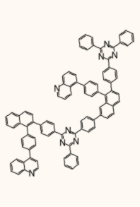 c1ccc(-c2nc(-c3ccc(-c4ccc5ccc(-c6ccc(-c7nc(-c8ccccc8)nc(-c8ccccc8)n7)cc6)c(-c6ccc(-c7cccc8ncccc78)cc6)c5c4)cc3)nc(-c3ccc(-c4ccc5ccccc5c4-c4ccc(-c5ccnc6ccccc56)cc4)cc3)n2)cc1